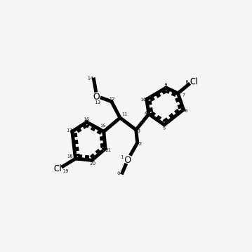 COCC(c1ccc(Cl)cc1)C(COC)c1ccc(Cl)cc1